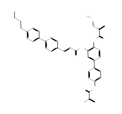 C=C(C)C(=O)Oc1ccc(-c2ccc(OC(=O)C(=C)COC)c(OC(=O)/C=C/c3ccc(-c4ccc(CCCC)cc4)cc3)c2)cc1